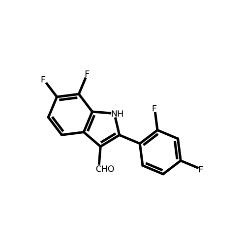 O=Cc1c(-c2ccc(F)cc2F)[nH]c2c(F)c(F)ccc12